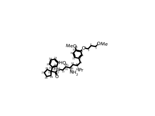 COCCCOc1cc(C[C@@H](C[C@H](N)[C@@H](O)CNC(=O)C2(c3ccccc3)CCCC2)C(C)C)ccc1OC